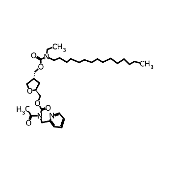 CCCCCCCCCCCCCCCN(CC)C(=O)OC[C@H]1CO[C@H](COC(=O)N(Cc2ccccn2)C(C)=O)C1